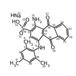 Cc1cc(C)c(Nc2cc(S(=O)(=O)O)c(N)c3c2C(=O)c2ccccc2C3=O)c(C)c1.[NaH]